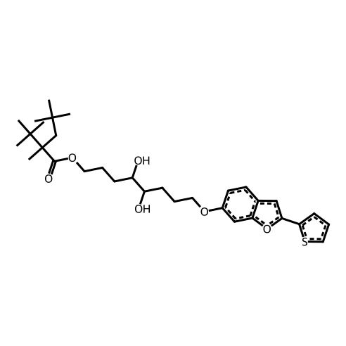 CC(C)(C)CC(C)(C(=O)OCCCC(O)C(O)CCCOc1ccc2cc(-c3cccs3)oc2c1)C(C)(C)C